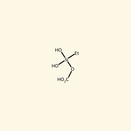 CC[Si](O)(O)OC(=O)O